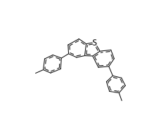 Cc1ccc(-c2ccc3sc4ccc(-c5ccc(C)cc5)cc4c3c2)cc1